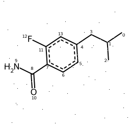 CC(C)Cc1ccc(C(N)=O)c(F)c1